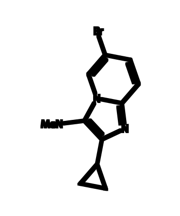 CNc1c(C2CC2)nc2ccc(Br)cn12